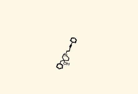 OC1(Cc2ccccc2)CCN(CCC#Cc2ccccc2)CC1